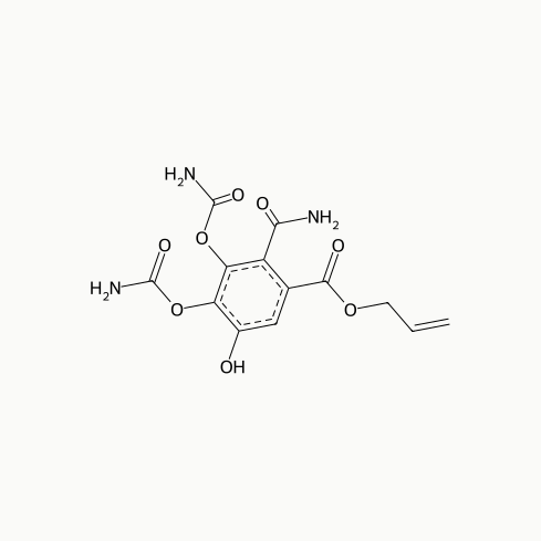 C=CCOC(=O)c1cc(O)c(OC(N)=O)c(OC(N)=O)c1C(N)=O